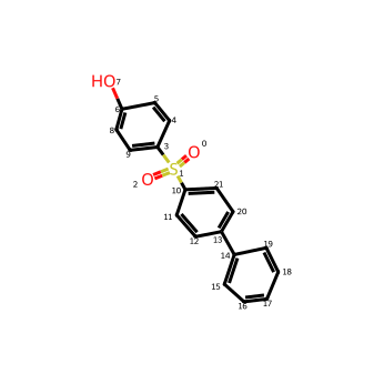 O=S(=O)(c1ccc(O)cc1)c1ccc(-c2ccccc2)cc1